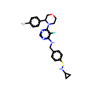 Fc1c(NCc2ccc(SNC3CC3)cc2)ncnc1N1CCOCC1c1ccc(C(F)(F)F)cc1